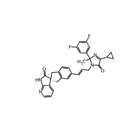 CC1(c2cc(F)cc(F)c2)N=C(C2CC2)C(=O)N1C/C=C/c1ccc2c(c1)C[C@@]1(C2)C(=O)Nc2ncccc21